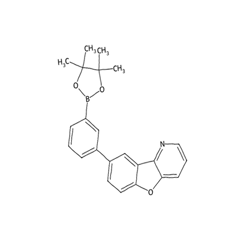 CC1(C)OB(c2cccc(-c3ccc4oc5cccnc5c4c3)c2)OC1(C)C